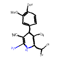 COc1ccc(C2C(C#N)=C(N)NC(C(C#N)C#N)=C2C#N)cc1OC